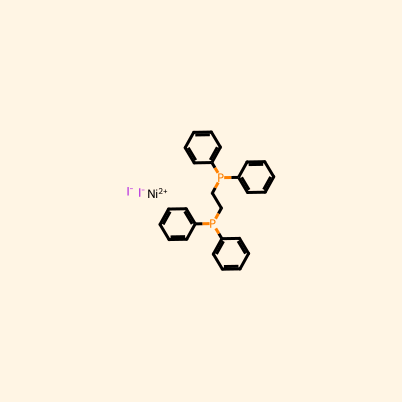 [I-].[I-].[Ni+2].c1ccc(P(CCP(c2ccccc2)c2ccccc2)c2ccccc2)cc1